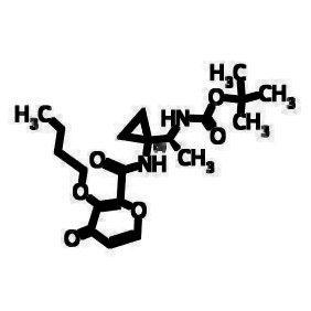 CCCCOc1c(C(=O)NC2([C@H](C)NC(=O)OC(C)(C)C)CC2)occc1=O